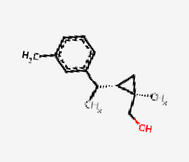 Cc1cccc(C(C)[C@@H]2C[C@@]2(C)CO)c1